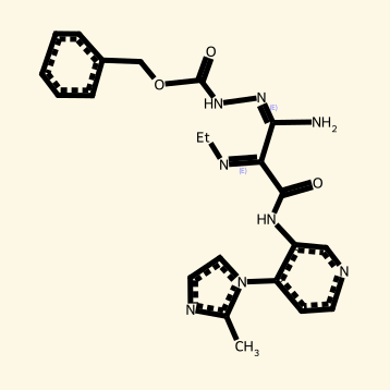 CC/N=C(C(=O)Nc1cnccc1-n1ccnc1C)\C(N)=N/NC(=O)OCc1ccccc1